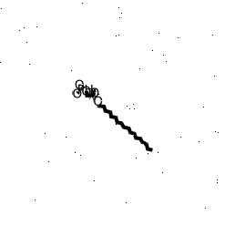 CCCCCCCCCCCCCCCCCCOC[C@H](CO[PH](=O)OC)OC